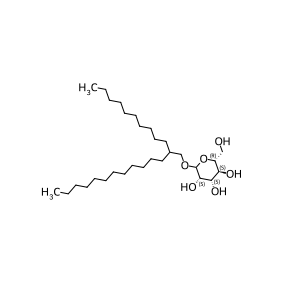 CCCCCCCCCCCCC(CCCCCCCCCC)COC1O[C@H](CO)[C@@H](O)[C@H](O)[C@@H]1O